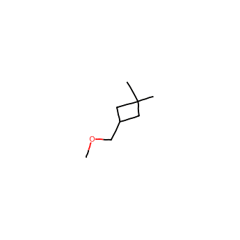 COCC1CC(C)(C)C1